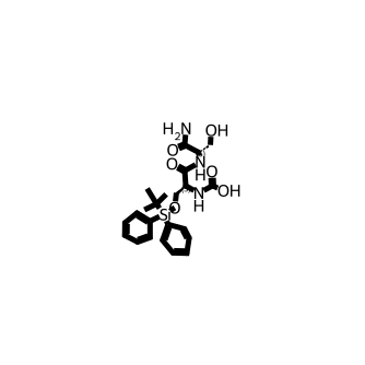 CC(C)(C)[Si](OC[C@H](NC(=O)O)C(=O)N[C@@H](CO)C(N)=O)(c1ccccc1)c1ccccc1